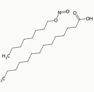 CCCCCCCCCCCCCC(=O)O.CCCCCCCCON=O